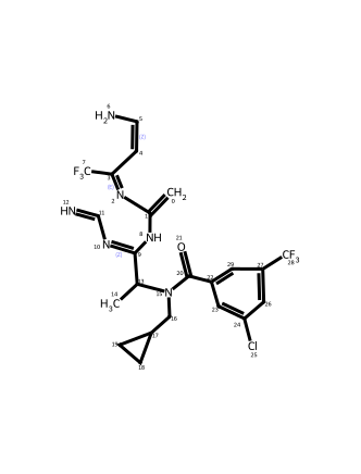 C=C(/N=C(\C=C/N)C(F)(F)F)N/C(=N\C=N)C(C)N(CC1CC1)C(=O)c1cc(Cl)cc(C(F)(F)F)c1